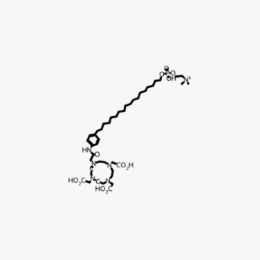 C[N+](C)(C)CCOP(=O)(O)OCCCCCCCCCCCCCCCCCCc1ccc(NC(=O)CN2CCN(CC(=O)O)CCN(CC(=O)O)CCN(CC(=O)O)CC2)cc1